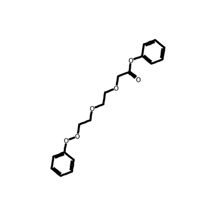 O=C(COCCOCCOOc1ccccc1)Oc1ccccc1